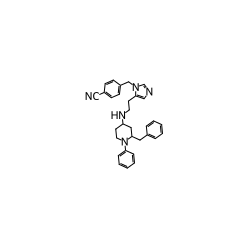 N#Cc1ccc(Cn2cncc2CCNC2CCN(c3ccccc3)C(Cc3ccccc3)C2)cc1